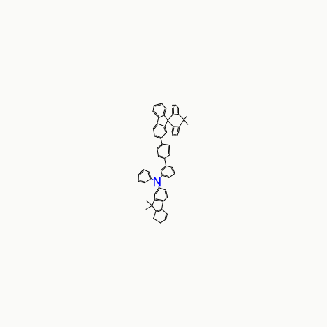 CC1(C)C2=C(C=CCC2)c2ccc(N(c3ccccc3)c3cccc(-c4ccc(-c5ccc6c(c5)C5(c7ccccc7-6)c6ccccc6C(C)(C)c6ccccc65)cc4)c3)cc21